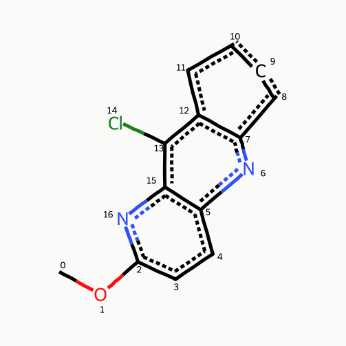 COc1ccc2nc3ccccc3c(Cl)c2n1